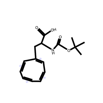 CC(C)(C)OC(=O)NC(CC1=C/C=C\C=C/C=C\1)C(=O)O